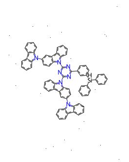 c1ccc([SiH](c2ccccc2)c2cccc(-c3nc(-n4c5ccccc5c5cc(-n6c7ccccc7c7ccccc76)ccc54)nc(-n4c5ccccc5c5cc(-n6c7ccccc7c7ccccc76)ccc54)n3)c2)cc1